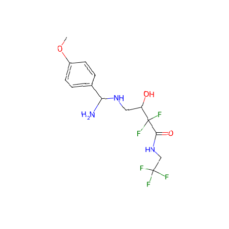 COc1ccc(C(N)NCC(O)C(F)(F)C(=O)NCC(F)(F)F)cc1